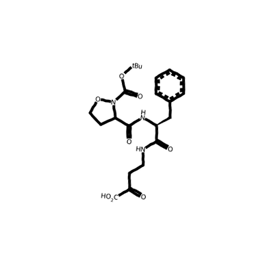 CC(C)(C)OC(=O)N1OCCC1C(=O)N[C@@H](Cc1ccccc1)C(=O)NCCC(=O)C(=O)O